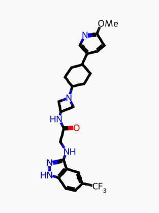 COc1ccc(C2CCC(N3CC(NC(=O)CNc4n[nH]c5ccc(C(F)(F)F)cc45)C3)CC2)cn1